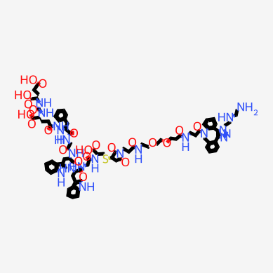 NCCNCCn1nnc2c1-c1ccccc1N(C(=O)CCNC(=O)CCOCCOCCNC(=O)CCN1C(=O)CC(SCC(NC(=O)CNC(=O)C(Cc3c[nH]c4ccccc34)NC(=O)C(Cc3c[nH]c4ccccc34)NC(=O)CNC(=O)C(Cc3ccccc3)NNC(=O)CC[C@H](NC(=O)N[C@@H](CCC(=O)O)C(=O)O)C(=O)O)C(=O)O)C1=O)Cc1ccccc1-2